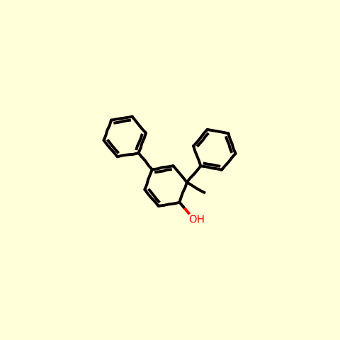 CC1(c2ccccc2)C=C(c2ccccc2)C=CC1O